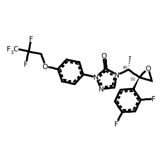 C[C@@H](n1cnn(-c2ccc(OCC(F)(F)C(F)(F)F)cc2)c1=O)[C@@]1(c2ccc(F)cc2F)CO1